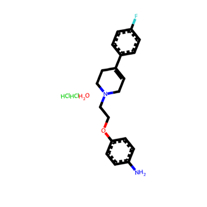 Cl.Cl.Nc1ccc(OCCN2CC=C(c3ccc(F)cc3)CC2)cc1.O